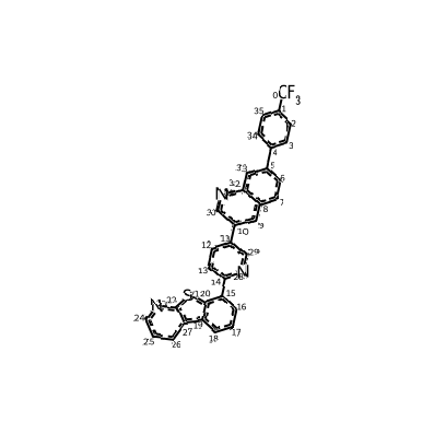 FC(F)(F)c1ccc(-c2ccc3cc(-c4ccc(-c5cccc6c5sc5ncccc56)nc4)cnc3c2)cc1